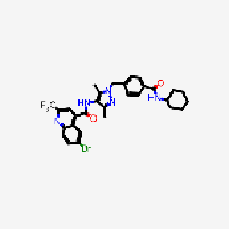 Cc1nn(Cc2ccc(C(=O)NC3CCCCC3)cc2)c(C)c1NC(=O)c1cc(C(F)(F)F)nc2ccc(Br)cc12